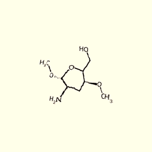 CO[C@@H]1OC(CO)[C@@H](OC)CC1N